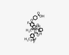 COc1cc(F)c(O[C@H]2CC[C@@H](C(=O)O)CC2)cc1C(=O)N[C@@H]1[C@H]2CC[C@H](C2)[C@@H]1C(=O)Nc1ccc(C)c(C(F)(F)F)c1